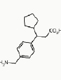 NCc1ccc(C(CC(=O)O)C2CCCC2)cc1